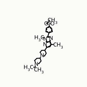 Cc1cc(C2CCN(C3CCN(C(C)C)CC3)CC2)nc2c1nc(-c1ccc(S(C)(=O)=O)cc1)n2C